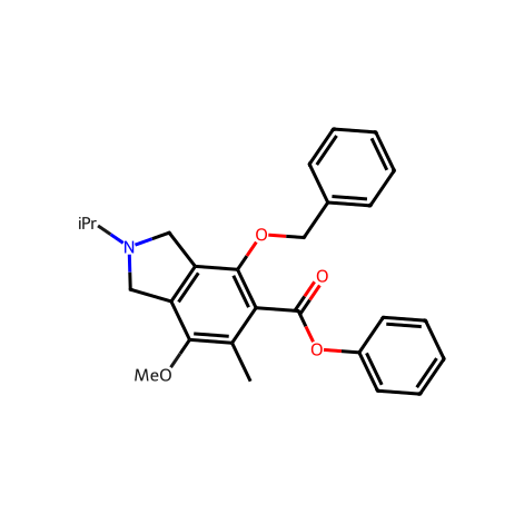 COc1c(C)c(C(=O)Oc2ccccc2)c(OCc2ccccc2)c2c1CN(C(C)C)C2